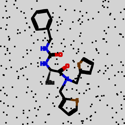 [CH2]CCC[C@H](NC(=O)NCc1ccccc1)C(=O)N(Cc1cccs1)Cc1cccs1